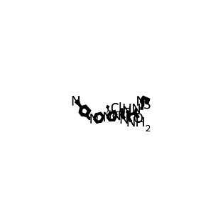 CC[C@H]1CN(c2nc(N)c(C(=O)NCc3nccs3)nc2Cl)CCN1C1CCN(Cc2ccc(C#N)cc2)CC1